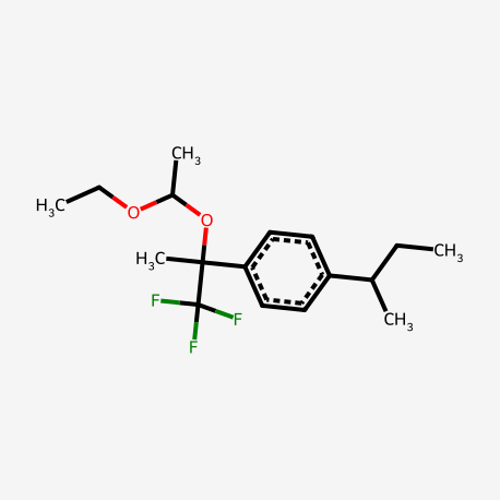 CCOC(C)OC(C)(c1ccc(C(C)CC)cc1)C(F)(F)F